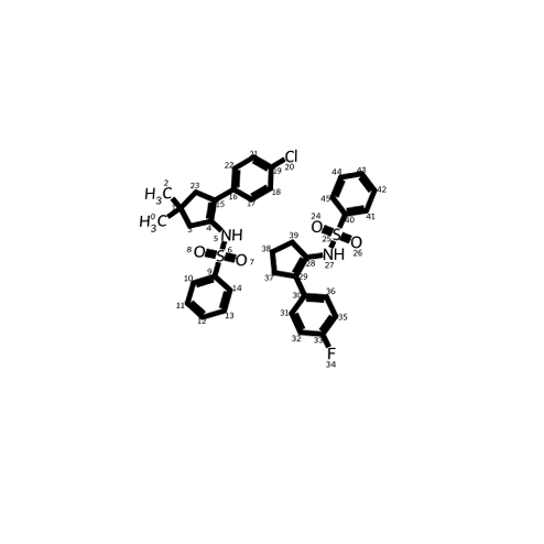 CC1(C)CC(NS(=O)(=O)c2ccccc2)=C(c2ccc(Cl)cc2)C1.O=S(=O)(NC1=C(c2ccc(F)cc2)CCC1)c1ccccc1